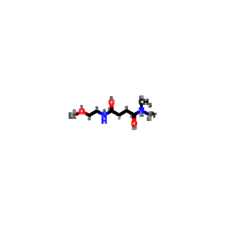 CCOCCNC(=O)CCC(=O)N(C)C(C)C